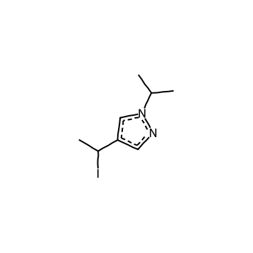 CC(I)c1cnn(C(C)C)c1